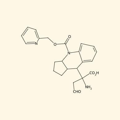 NC(CC=O)(C(=O)O)C1c2ccccc2N(C(=O)OCc2ccccn2)C2CCCC21